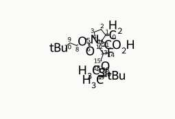 C=C1CCN(C(=O)OCCC(C)(C)C)C1(C[C@@H](F)CO[Si](C)(C)C(C)(C)C)C(=O)O